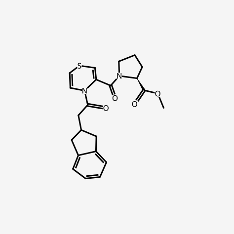 COC(=O)[C@@H]1CCCN1C(=O)C1=CSC=CN1C(=O)CC1Cc2ccccc2C1